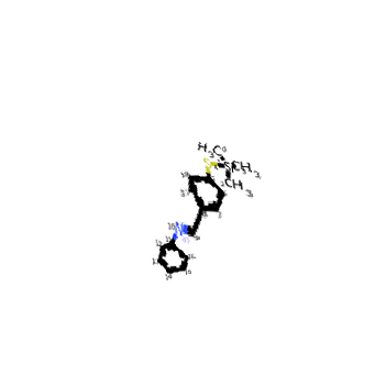 C[Si](C)(C)Sc1ccc(/C=N/c2ccccc2)cc1